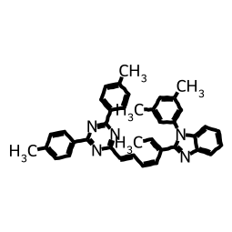 C\C=C(/C=C\C=C\c1nc(-c2ccc(C)cc2)nc(-c2ccc(C)cc2)n1)c1nc2ccccc2n1-c1cc(C)cc(C)c1